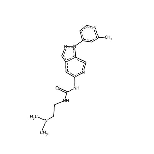 Cc1cc(-n2ncc3cc(NC(=O)NCCN(C)C)ncc32)ccn1